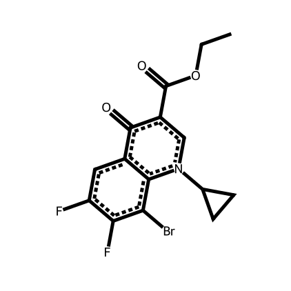 CCOC(=O)c1cn(C2CC2)c2c(Br)c(F)c(F)cc2c1=O